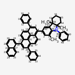 Cc1cc(-c2cc(-c3ccccc3)c3ccc4c(-c5cccc6ccccc56)cc(-c5ccccc5)c5ccc2c3c54)cc2c1N(c1ccccc1)C1(C)CCCCC21C